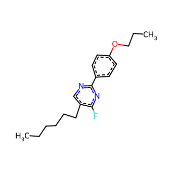 CCCCCCc1cnc(-c2ccc(OCCC)cc2)nc1F